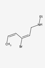 C/C=C\C(Br)=C/CNCC